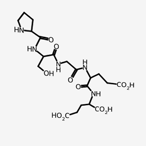 O=C(O)CCC(NC(=O)C(CCC(=O)O)NC(=O)CNC(=O)C(CO)NC(=O)C1CCCN1)C(=O)O